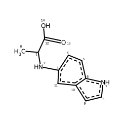 CC(Nc1ccc2[nH]ccc2c1)C(=O)O